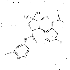 CC(=O)c1cc(NC(=O)[C@@H]2OC(C)(C)[C@@H](C)[C@H]2c2ccc(F)cc2OC(F)F)ccn1